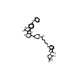 NC(=O)c1c(-c2ccc(Oc3ccccc3)cc2)nn2c1NCCC2C1CCN(C(=O)CCCCSc2cccc3c2CN(C2CCC(=O)NC2=O)C3=O)CC1